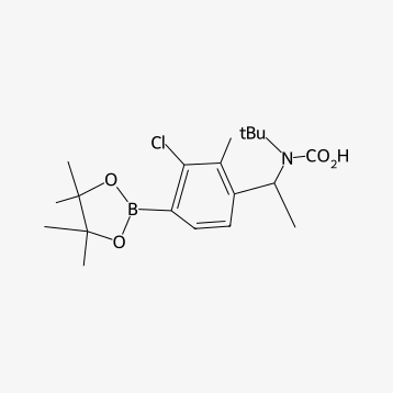 Cc1c(C(C)N(C(=O)O)C(C)(C)C)ccc(B2OC(C)(C)C(C)(C)O2)c1Cl